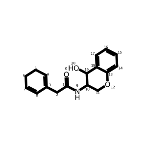 O=C(CC1=CCCC=C1)NC1COc2ccccc2C1O